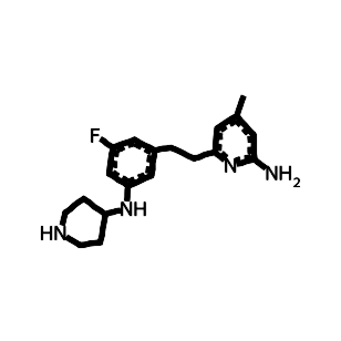 Cc1cc(N)nc(CCc2cc(F)cc(NC3CCNCC3)c2)c1